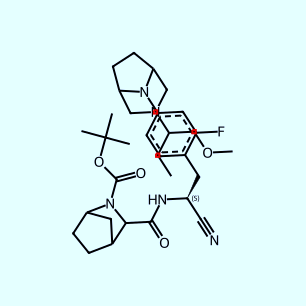 CCC(COC)N1CC2CCC(C1)N2c1ccc(C[C@@H](C#N)NC(=O)C2C3CCC(C3)N2C(=O)OC(C)(C)C)c(F)c1